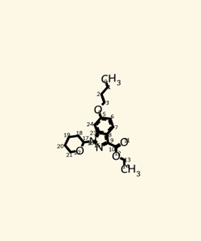 CCCCOc1ccc2c(C(=O)OCC)nn(C3CCCCO3)c2c1